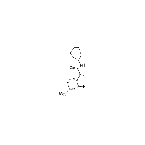 CSc1ccc(N(C)C(=O)NC2CCCCC2)c(F)c1